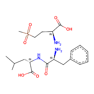 CC(C)C[C@H](NC(=O)[C@@H](N)Cc1ccccc1)C(=O)O.CS(=O)(=O)CC[C@H](N)C(=O)O